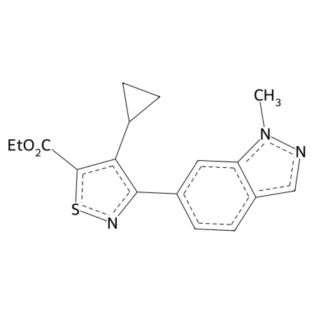 CCOC(=O)c1snc(-c2ccc3cnn(C)c3c2)c1C1CC1